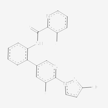 O=C(Nc1ccccc1-c1cnc(-n2ccc(C(F)(F)F)n2)c(F)c1)c1ncccc1C(F)(F)F